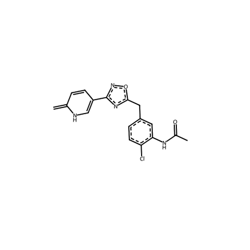 C=C1C=CC(c2noc(Cc3ccc(Cl)c(NC(C)=O)c3)n2)=CN1